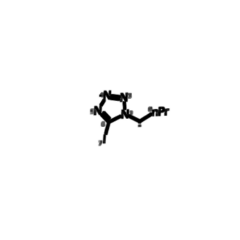 CCCCn1nnnc1I